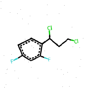 Fc1ccc(C(Cl)CCCl)c(F)c1